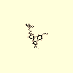 COc1ccc(-n2nc(C(F)(F)F)cc2-c2ccc(CCOC(N)=O)cc2)cc1